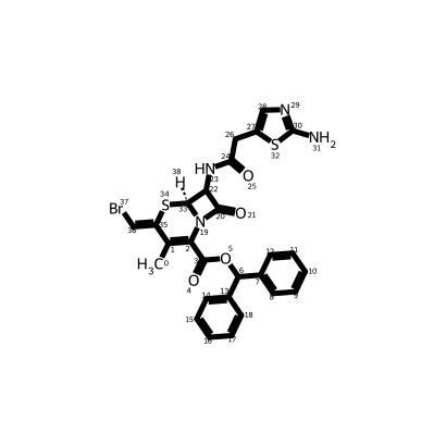 CC1=C(C(=O)OC(c2ccccc2)c2ccccc2)N2C(=O)C(NC(=O)Cc3cnc(N)s3)[C@@H]2SC1=CBr